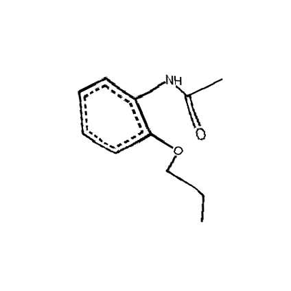 CCCOc1ccccc1NC(C)=O